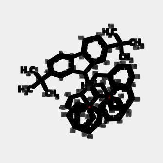 CC(C)(C)c1ccc2c(c1)[CH]([Hf]([CH2]c1ccccc1)([CH2]c1ccccc1)(=[C](c1ccccc1)c1ccccc1)[CH]1C=Cc3ccccc31)c1cc(C(C)(C)C)ccc1-2